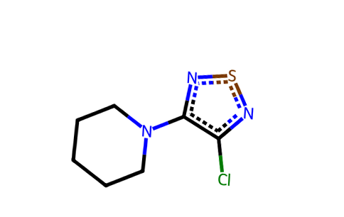 Clc1nsnc1N1CCCCC1